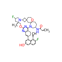 C#Cc1c(F)ccc2cc(O)cc(C3=Cc4nc(OC[C@]5(C)C[C@@H](F)CN5C5CC6(CCOCC6)C5)nc(N5CCCCC(NC(=O)C=C)C5)c4CC3)c12